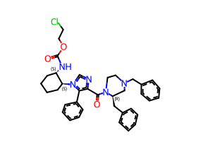 O=C(N[C@H]1CCCC[C@@H]1n1cnc(C(=O)N2CCN(Cc3ccccc3)C[C@H]2Cc2ccccc2)c1-c1ccccc1)OCCCl